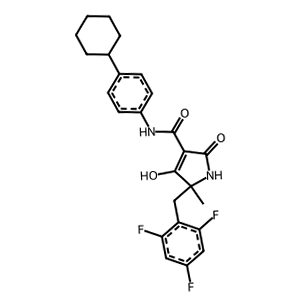 CC1(Cc2c(F)cc(F)cc2F)NC(=O)C(C(=O)Nc2ccc(C3CCCCC3)cc2)=C1O